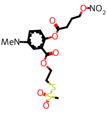 CNc1ccc(OC(=O)CCCO[N+](=O)[O-])c(C(=O)OCCSS(C)(=O)=O)c1